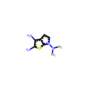 CN(C)n1ccc2c(N)c(N)sc21